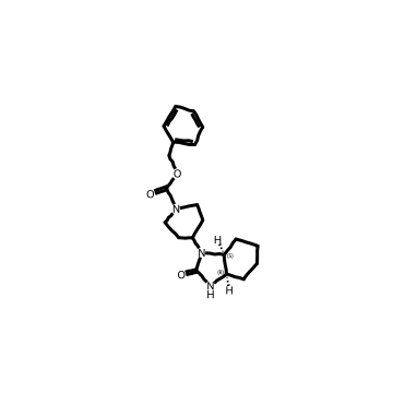 O=C(OCc1ccccc1)N1CCC(N2C(=O)N[C@@H]3CCCC[C@@H]32)CC1